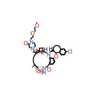 COCCOCCN1CCN(C[C@@]2(O)CCC[C@H](C)[C@@H](C)S(=O)(=O)NC(=O)c3ccc4c(c3)N(C[C@H]3CCCc5cc(Cl)ccc5C3O4)C[C@@H]3CC[C@H]32)CC1=O